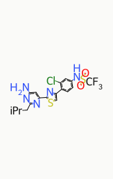 CC(C)Cc1nc(N)cc(-c2nc(-c3ccc(NS(=O)(=O)C(F)(F)F)cc3Cl)cs2)n1